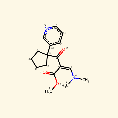 COC(=O)C(=CN(C)C)C(=O)C1(c2cccnc2)CCCC1